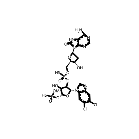 COP(=O)(S)O[C@H]1O[C@@H](n2cnc3cc(Cl)c(Cl)cc32)C(OP(=O)(S)OC[C@H]2O[C@@H](n3c(=O)[nH]c4c(N)ncnc43)C[C@@H]2O)C1O